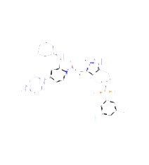 CN1CCN(c2ccc(C(=O)Nc3n[nH]c4c3CN(S(=O)(=O)c3cc(F)cc(F)c3)CC4)c(NC3CCCCC3)c2)CC1